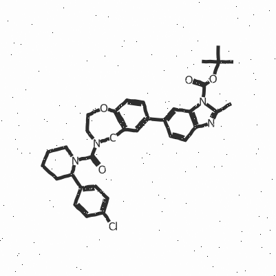 Cc1nc2ccc(-c3ccc4c(c3)CN(C(=O)N3CCCCC3c3ccc(Cl)cc3)CCO4)cc2n1C(=O)OC(C)(C)C